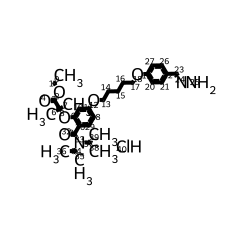 CCOC(=O)C(C)(C)Oc1cc(OCCCCCOc2ccc(C=NN)cc2)ccc1C(=O)N(C(C)C)C(C)C.Cl